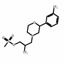 CS(=O)(=O)OCC(CN1CCOC(c2cccc(C(F)(F)F)c2)C1)C(F)(F)F